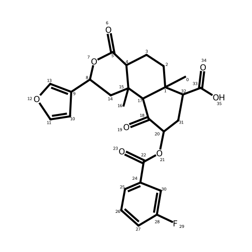 CC12CCC3C(=O)OC(c4ccoc4)CC3(C)C1C(=O)C(OC(=O)c1cccc(F)c1)CC2C(=O)O